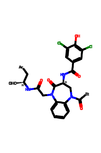 CCC(=O)N1C[C@H](NC(=O)c2cc(Cl)c(O)c(Cl)c2)C(=O)N(CC(=O)N[C@H](C=O)CC(C)=O)c2ccccc21